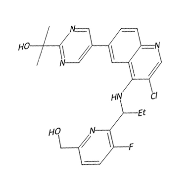 CCC(Nc1c(Cl)cnc2ccc(-c3cnc(C(C)(C)O)nc3)cc12)c1nc(CO)ccc1F